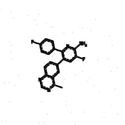 Cc1ncnc2ccc(-c3cc(F)c(N)nc3-c3ccc(F)cc3)cc12